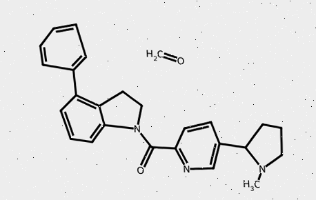 C=O.CN1CCCC1c1ccc(C(=O)N2CCc3c(-c4ccccc4)cccc32)nc1